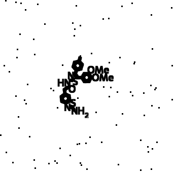 COc1ccc(-c2sc(NC(=O)Cc3ccc4nc(N)sc4c3)nc2-c2ccc(C)cc2)cc1OC